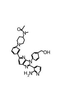 CC(=O)N(C)C1CCN(c2cccc(-c3ccc4nc(-c5cccnc5N)n(-c5ccc(CO)cc5)c4n3)c2)CC1